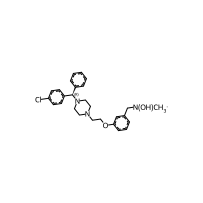 C[N+](O)Cc1cccc(OCCN2CCN([C@H](c3ccccc3)c3ccc(Cl)cc3)CC2)c1